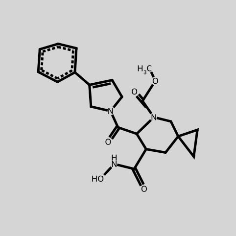 COC(=O)N1CC2(CC2)CC(C(=O)NO)C1C(=O)N1CC=C(c2ccccc2)C1